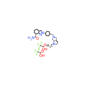 CN1CC=C2CN(Cc3ccc(-n4cc5cccc(C(N)=O)c5n4)cc3)CC21.O=C(O)C(F)(F)F.O=C(O)C(F)(F)F